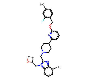 Cc1cccc2c1nc(CN1CCC(c3cccc(OCc4ccc(C#N)cc4F)n3)CC1)n2C[C@@H]1CCO1